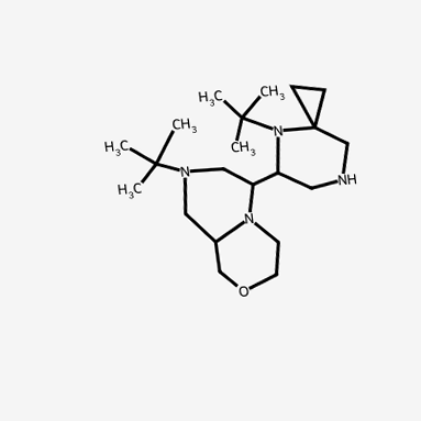 CC(C)(C)N1CC2COCCN2C(C2CNCC3(CC3)N2C(C)(C)C)C1